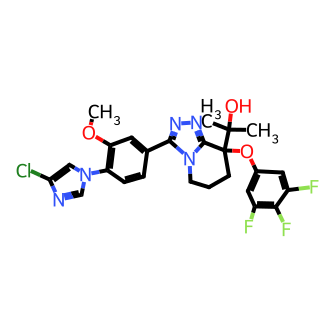 COc1cc(-c2nnc3n2CCCC3(Oc2cc(F)c(F)c(F)c2)C(C)(C)O)ccc1-n1cnc(Cl)c1